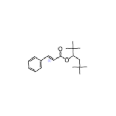 CC(C)(C)CC(OC(=O)/C=C/c1ccccc1)C(C)(C)C